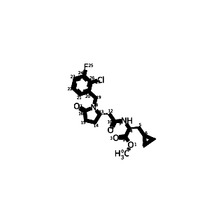 COC(=O)[C@H](CC1CC1)NC(=O)C[C@@H]1CCC(=O)N1Cc1cccc(F)c1Cl